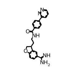 N=C(N)c1ccc2c(c1)C(CCNC(=O)c1ccc(-c3cccnn3)cc1)CO2